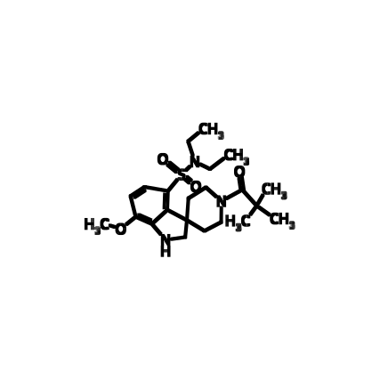 CCN(CC)S(=O)(=O)c1ccc(OC)c2c1C1(CCN(C(=O)C(C)(C)C)CC1)CN2